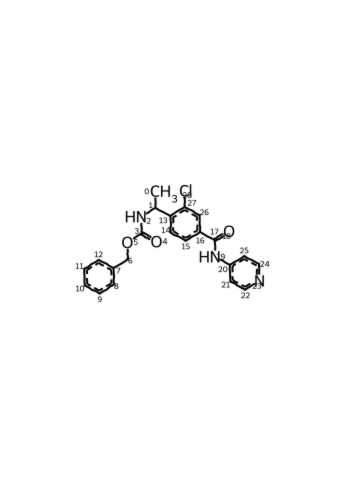 CC(NC(=O)OCc1ccccc1)c1ccc(C(=O)Nc2ccncc2)cc1Cl